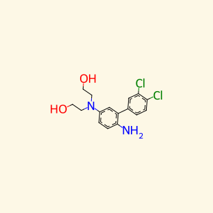 Nc1ccc(N(CCO)CCO)cc1-c1ccc(Cl)c(Cl)c1